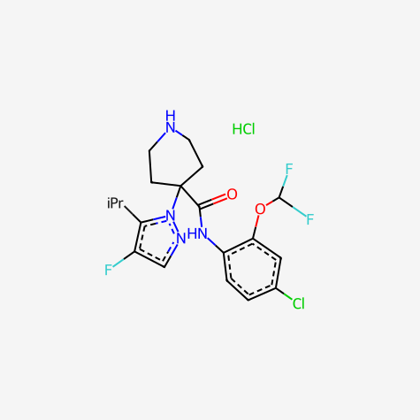 CC(C)c1c(F)cnn1C1(C(=O)Nc2ccc(Cl)cc2OC(F)F)CCNCC1.Cl